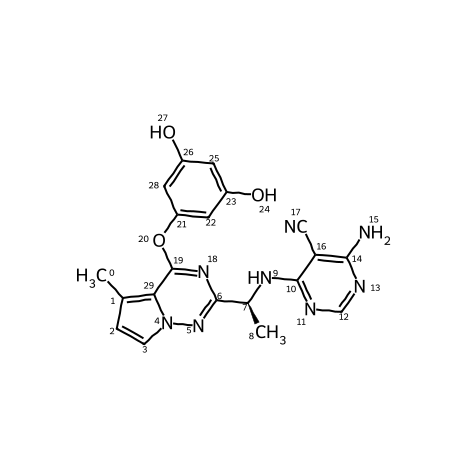 Cc1ccn2nc([C@H](C)Nc3ncnc(N)c3C#N)nc(Oc3cc(O)cc(O)c3)c12